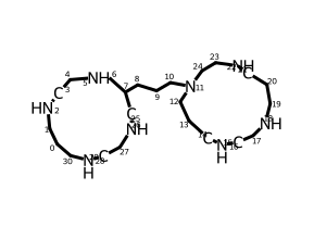 C1CNCCNCC(CCCN2CCCNCCNCCCNCC2)CNCCNC1